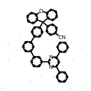 N#Cc1ccc(C2(c3ccc(-c4cccc(-c5cccc(-c6nc(-c7ccccc7)cc(-c7ccccc7)n6)c5)c4)cc3)c3ccccc3Oc3ccccc32)cc1